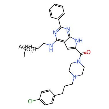 CC(=O)NCCNc1nc(-c2ccccc2)nc2[nH]c(C(=O)N3CCN(CCCc4ccc(Cl)cc4)CC3)cc12.CS(=O)(=O)O